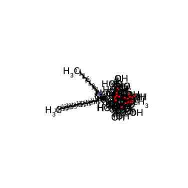 CCCCCCCCCCCCC/C=C/[C@@H](O)[C@H](CO[C@@H]1OC(CO)[C@@H](O[C@@H]2OC(CO)[C@H](O)[C@H](O[C@@H]3OC(CO)[C@@H](O[C@@H]4OC(CO)[C@H](O)[C@H](O[C@@H]5OC(CO)[C@@H](O[C@@H]6OC(CO)[C@H](O)[C@H](O)C6O)[C@H](O[C@H]6OC(C)[C@@H](O)C(O)[C@@H]6O)C5NC(C)=O)C4O)[C@H](O[C@H]4OC(C)[C@@H](O)C(O)[C@@H]4O)C3NC(C)=O)C2O)[C@H](O)C1O)NC(=O)CCCCCCCCCCCCCCCCC